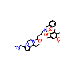 CCC1c2ccc(CN(C)C)n2CCN1C(=O)CCCN(Cc1ccccc1)S(=O)(=O)c1c(C)cc(OC)c(C)c1C